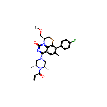 C=CC(=O)N1[C@H](C)CN(c2nc(=O)n3c4c(c(-c5ccc(F)cc5)c(C)cc24)SC[C@@H]3COCC)C[C@@H]1C